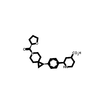 O=C(O)C1CCNC(c2ccc([C@H]3CC34CCN(C(=O)[C@H]3CCCO3)CC4)cc2)C1